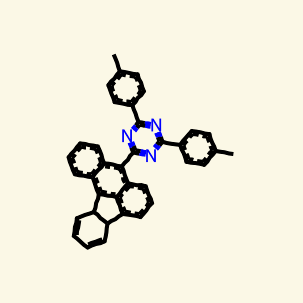 Cc1ccc(-c2nc(-c3ccc(C)cc3)nc(-c3c4ccccc4c4c5c(cccc35)C3C=CC=CC43)n2)cc1